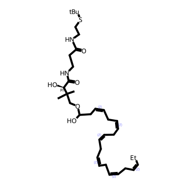 CC/C=C\C/C=C\C/C=C\C/C=C\C/C=C\C/C=C\CC(O)OCC(C)(C)[C@@H](O)C(=O)NCCC(=O)NCCSC(C)(C)C